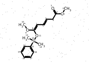 COC(=O)C/C=C/C=C(/OC)O[Si](C)(C)c1ccccc1